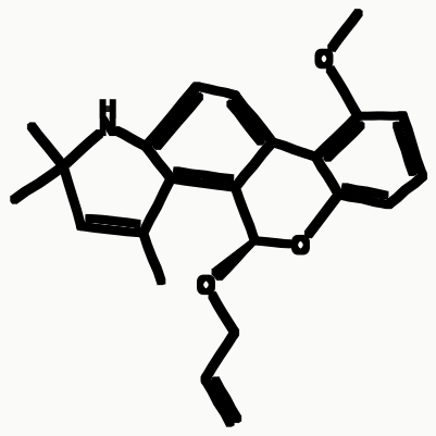 C=CCO[C@@H]1Oc2cccc(OC)c2-c2ccc3c(c21)C(C)=CC(C)(C)N3